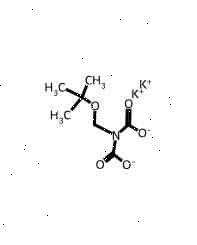 CC(C)(C)OCN(C(=O)[O-])C(=O)[O-].[K+].[K+]